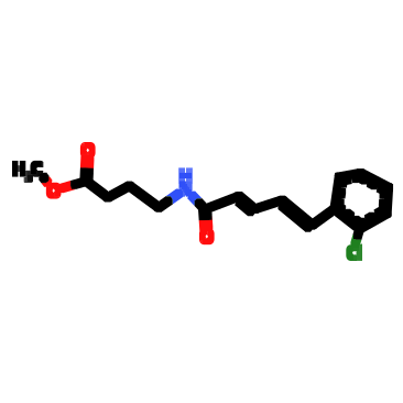 COC(=O)CCCNC(=O)C=CC=Cc1ccccc1Cl